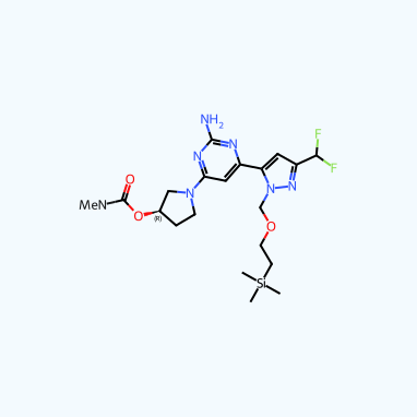 CNC(=O)O[C@@H]1CCN(c2cc(-c3cc(C(F)F)nn3COCC[Si](C)(C)C)nc(N)n2)C1